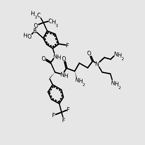 CC1(C)OB(O)c2cc(NC(=O)[C@@H](Cc3ccc(C(F)(F)F)cc3)NC(=O)[C@@H](N)CCC(=O)N(CCN)CCN)c(F)cc21